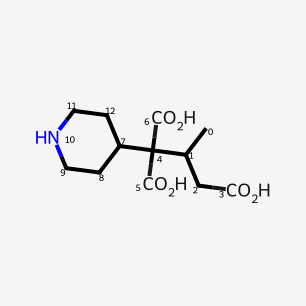 CC(CC(=O)O)C(C(=O)O)(C(=O)O)C1CCNCC1